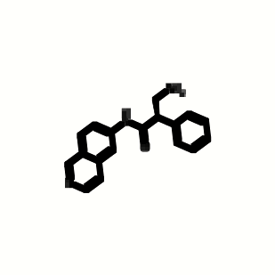 NC[C@H](C(=O)Nc1ccc2cnccc2c1)c1ccccc1